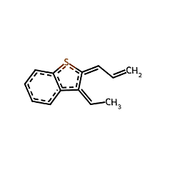 C=C/C=c1/sc2ccccc2/c1=C/C